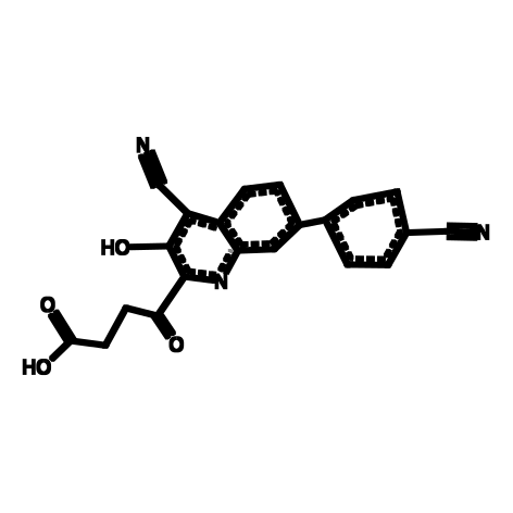 N#Cc1ccc(-c2ccc3c(C#N)c(O)c(C(=O)CCC(=O)O)nc3c2)cc1